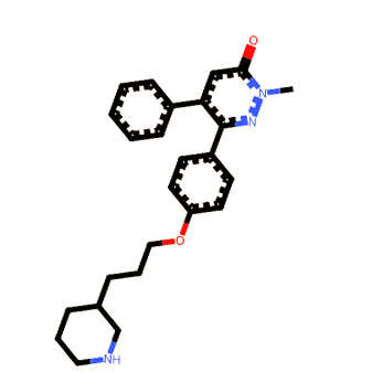 Cn1nc(-c2ccc(OCCCC3CCCNC3)cc2)c(-c2ccccc2)cc1=O